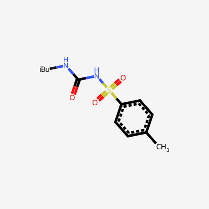 CCC(C)NC(=O)NS(=O)(=O)c1ccc(C)cc1